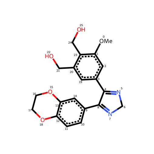 COc1cc(C2=NCN=C2c2ccc3c(c2)OCCO3)cc(CO)c1CO